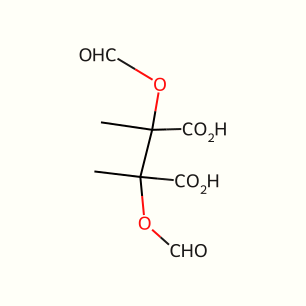 CC(OC=O)(C(=O)O)C(C)(OC=O)C(=O)O